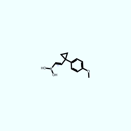 COc1ccc(C2(/C=C/B(O)O)CC2)cc1